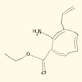 C=Cc1cccc(C(=O)OCC)c1N